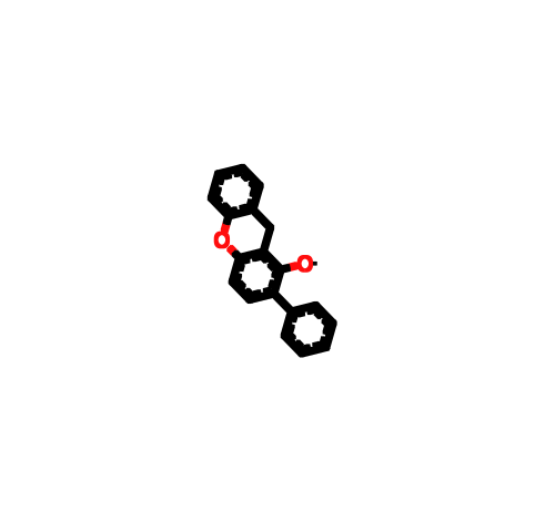 [O]c1c(-c2ccccc2)ccc2c1Cc1ccccc1O2